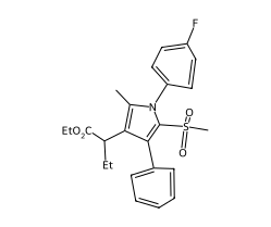 CCOC(=O)C(CC)c1c(-c2ccccc2)c(S(C)(=O)=O)n(-c2ccc(F)cc2)c1C